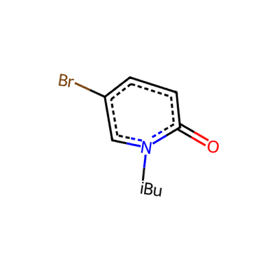 CCC(C)n1cc(Br)ccc1=O